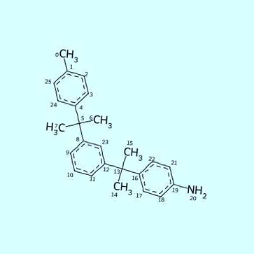 Cc1ccc(C(C)(C)c2cccc(C(C)(C)c3ccc(N)cc3)c2)cc1